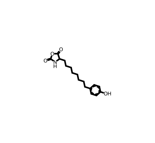 O=C1NC(CCCCCCCCc2ccc(O)cc2)C(=O)O1